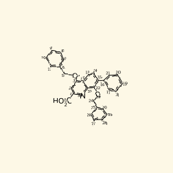 O=C(O)c1cc(OCc2ccccc2)c2ccc(-c3ccccc3)c(OCc3ccccc3)c2n1